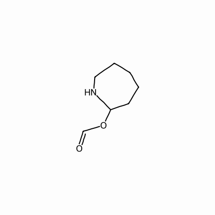 O=COC1CCCCCN1